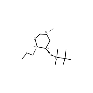 COC[C@@H]1OC[C@H](C)C[C@H]1O[Si](C)(C)C(C)(C)C